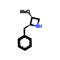 CO[C@@H]1CN[C@@H]1Cc1ccccc1